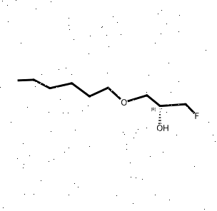 CCCCCCOC[C@@H](O)CF